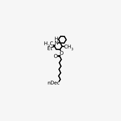 CCCCCCCCCCCCCCCCCC(=O)OC1CC(C)(CC)NC2(CCCCC2)C1C